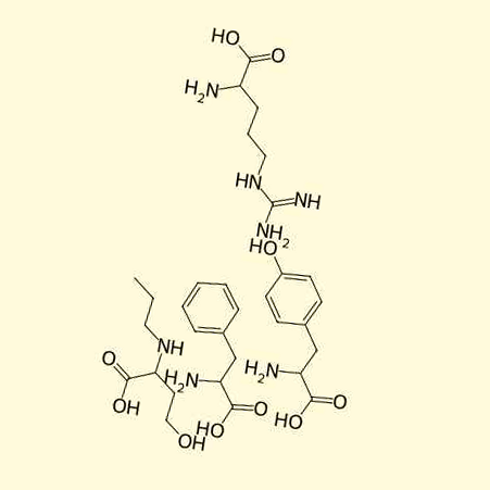 CCCNC(CCO)C(=O)O.N=C(N)NCCCC(N)C(=O)O.NC(Cc1ccc(O)cc1)C(=O)O.NC(Cc1ccccc1)C(=O)O